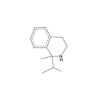 CC(C)C1(C)NCCc2ccccc21